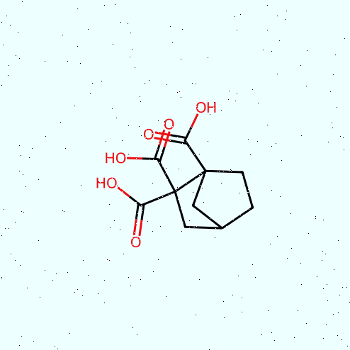 O=C(O)C12CCC(C1)CC2(C(=O)O)C(=O)O